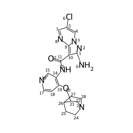 Nc1nn2cc(Cl)cnc2c1C(=O)Nc1cnccc1OC1CN2CCC1CC2